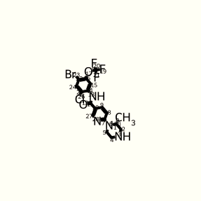 C[C@@H]1CNCCN1c1ccc(C(=O)Nc2cc(OC(F)(F)F)c(Br)cc2Cl)cn1